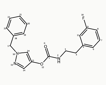 O=C(NCCc1cccc(F)c1)Oc1cnn(Cc2ccccc2)c1